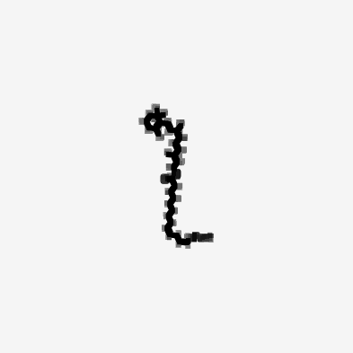 CCCCC/C=C\C/C=C\CCCCCCCC(=O)OC/C=C(C)/C=C/C=C(C)\C=C\C1=C(C)CCCC1(C)C